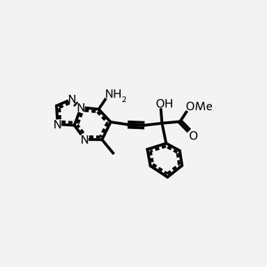 COC(=O)C(O)(C#Cc1c(C)nc2ncnn2c1N)c1ccccc1